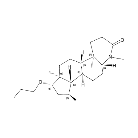 CCCO[C@H]1C[C@H](C)[C@H]2[C@@H]3CC[C@H]4N(C)C(=O)CC[C@]4(C)[C@H]3CC[C@@]21C